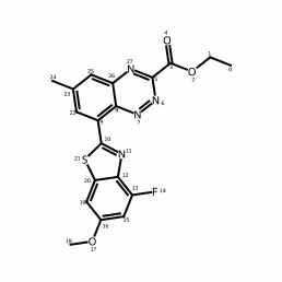 CCOC(=O)c1nnc2c(-c3nc4c(F)cc(OC)cc4s3)cc(C)cc2n1